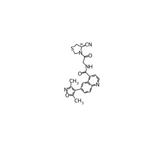 Cc1noc(C)c1-c1ccc2nccc(C(=O)NCC(=O)N3CSC[C@H]3C#N)c2c1